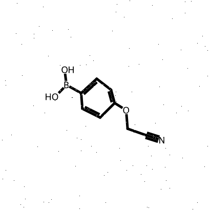 N#CCOc1ccc(B(O)O)cc1